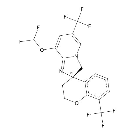 FC(F)OC1=CC(C(F)(F)F)=CN2C[C@@]3(CCOc4c(C(F)(F)F)cccc43)N=C12